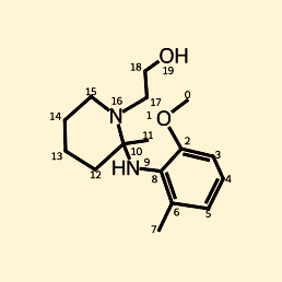 COc1cccc(C)c1NC1(C)CCCCN1CCO